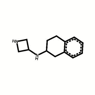 c1ccc2c(c1)CCC(NC1CNC1)C2